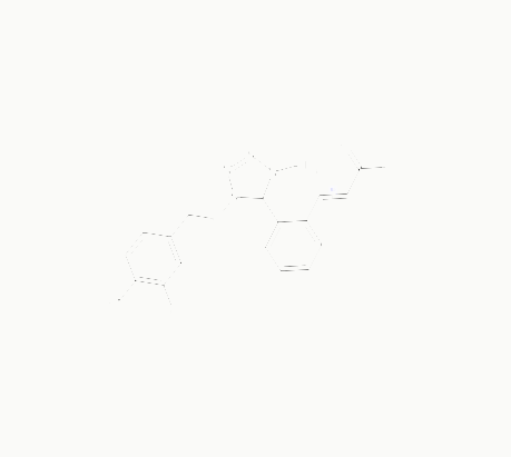 CN1N=NN(OCc2ccc(Cl)c(Cl)c2)C1c1ccccc1/C=C/C(=O)O